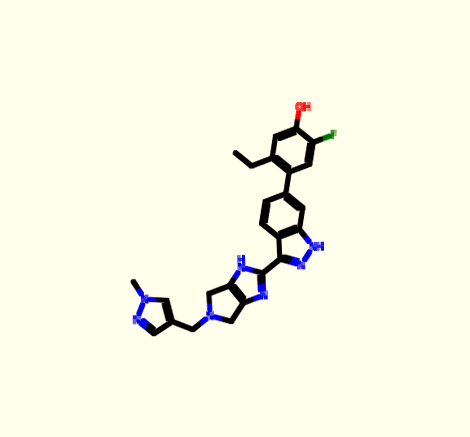 CCc1cc(O)c(F)cc1-c1ccc2c(-c3nc4c([nH]3)CN(Cc3cnn(C)c3)C4)n[nH]c2c1